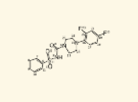 O=C(NS(=O)(=O)c1ccccc1)N1CCN(c2ccc(F)cc2F)CC1